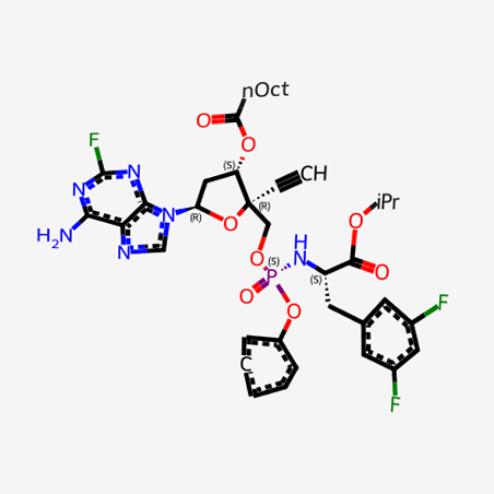 C#C[C@]1(CO[P@@](=O)(N[C@@H](Cc2cc(F)cc(F)c2)C(=O)OC(C)C)Oc2ccccc2)O[C@@H](n2cnc3c(N)nc(F)nc32)C[C@@H]1OC(=O)CCCCCCCC